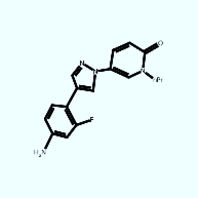 CCCn1cc(-n2cc(-c3ccc(N)cc3F)cn2)ccc1=O